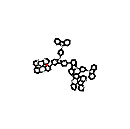 c1ccc2c(c1)Oc1ccc(-c3ccc4c(c3)c3ccc(-c5cccc6c5c5ccccc5n6-c5ccc(-n6c7ccccc7c7ccccc76)cc5-c5ccc6c(c5)C5(c7ccccc7O6)c6cccnc6-c6ncccc65)cc3n4-c3ccc(-n4c5ccccc5c5ccccc54)cc3)cc1C21c2cccnc2-c2ncccc21